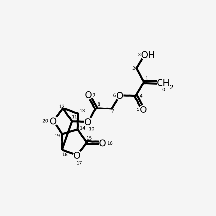 C=C(CO)C(=O)OCC(=O)OC1C2CC3C(=O)OC1C3O2